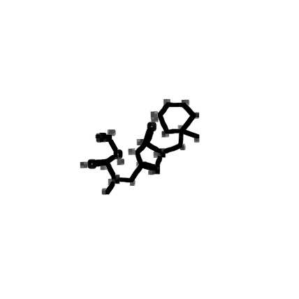 CN(CC1=NN(CC2(C)CCCCC2)C(=O)C1)C(=O)OC(C)(C)C